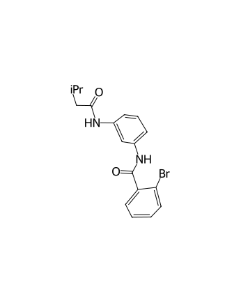 CC(C)CC(=O)Nc1cccc(NC(=O)c2ccccc2Br)c1